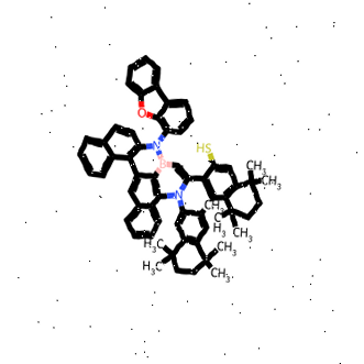 Cc1cc2c(cc1N1C(c3cc4c(cc3S)C(C)(C)CCC4(C)C)=CB3c4c(cc5ccccc5c41)-c1c(ccc4ccccc14)N3c1cccc3c1oc1ccccc13)C(C)(C)CCC2(C)C